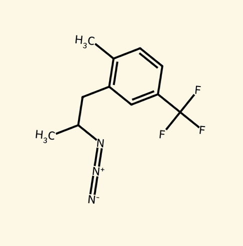 Cc1ccc(C(F)(F)F)cc1CC(C)N=[N+]=[N-]